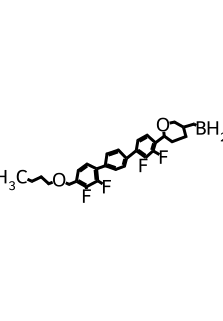 BCC1CCC(c2ccc(-c3ccc(-c4ccc(COCCCC)c(F)c4F)cc3)c(F)c2F)OC1